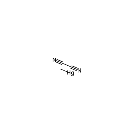 N#CC#N.[CH3][Hg]